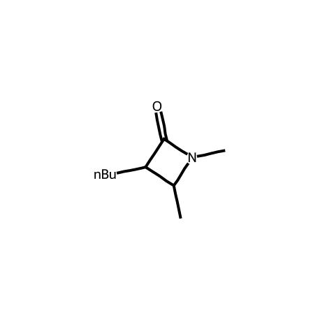 CCCCC1C(=O)N(C)C1C